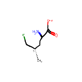 C[C@H](CF)CC(N)C(=O)O